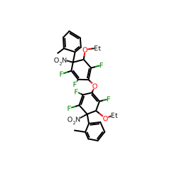 CCOC1C(F)=C(OC2=C(F)C(OCC)C(c3ccccc3C)([N+](=O)[O-])C(F)=C2F)C(F)=C(F)C1(c1ccccc1C)[N+](=O)[O-]